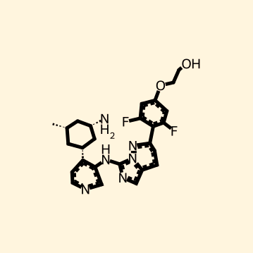 C[C@@H]1C[C@H](N)C[C@H](c2ccncc2Nc2ncc3ccc(-c4c(F)cc(OCCO)cc4F)nn23)C1